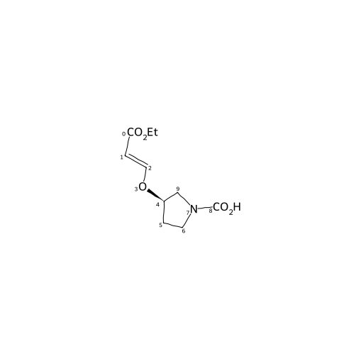 CCOC(=O)/C=C/O[C@@H]1CCN(C(=O)O)C1